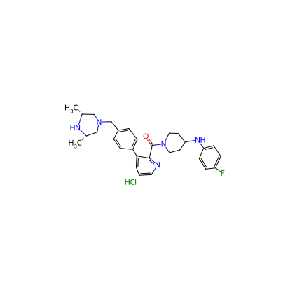 C[C@@H]1CN(Cc2ccc(-c3cccnc3C(=O)N3CCC(Nc4ccc(F)cc4)CC3)cc2)C[C@H](C)N1.Cl